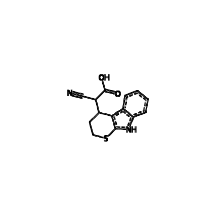 N#CC(C(=O)O)C1CCSc2[nH]c3ccccc3c21